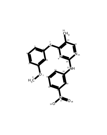 COc1cccc(Sc2nc(Nc3cccc([N+](=O)[O-])c3)ncc2C)c1